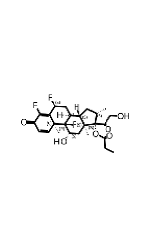 CCC(=O)O[C@@]1(C(=O)CO)[C@@H](C)C[C@H]2[C@@H]3C[C@H](F)C4=C(F)C(=O)C=C[C@]4(C)[C@@]3(F)[C@@H](O)C[C@@]21C